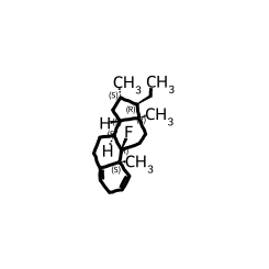 CC[C@@H]1[C@@H](C)C[C@H]2[C@@H]3CCC4=CCC=C[C@]4(C)[C@@]3(F)CC[C@]12C